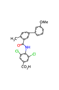 COc1cccc(-c2ccc(C)c(C(=O)Nc3c(Cl)cc(C(=O)O)cc3Cl)c2)c1